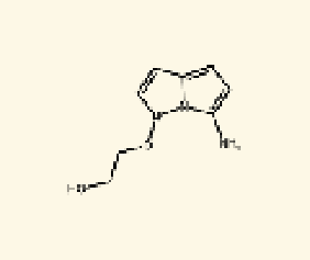 Nc1ccc2ccn(OCCO)n12